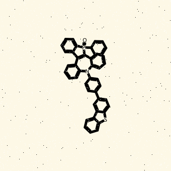 O=P1(C2C=CC=CC2)C2=C(c3ccccc3N(c3ccc(-c4ccc5sc6ccccc6c5c4)cc3)c3ccccc32)c2ccccc21